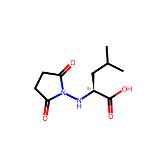 CC(C)C[C@H](NN1C(=O)CCC1=O)C(=O)O